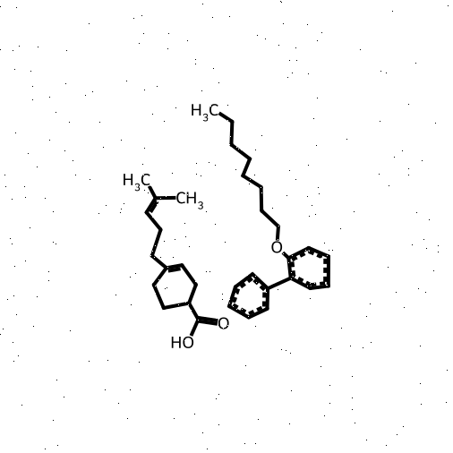 CC(C)=CCCC1=CCC(C(=O)O)CC1.CCCCCCCCOc1ccccc1-c1ccccc1